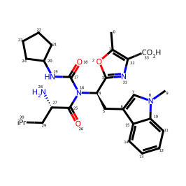 Cc1oc([C@@H](Cc2cn(C)c3ccccc23)N(C(=O)NC2CCCC2)C(=O)[C@@H](N)CC(C)C)nc1C(=O)O